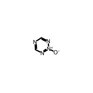 [O-][n+]1ncncn1